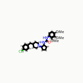 COc1ccc(NC(=O)NC2CCCC2N2CCC(Cc3ccc(Cl)cc3)CC2)c(OC)c1OC